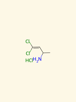 CC(N)C=C(Cl)Cl.Cl